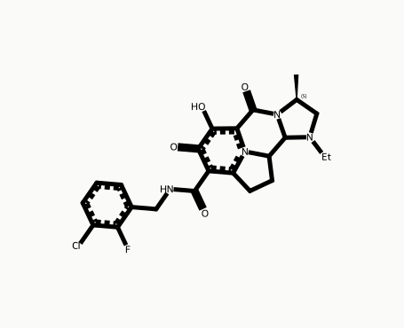 CCN1C[C@H](C)N2C(=O)c3c(O)c(=O)c(C(=O)NCc4cccc(Cl)c4F)c4n3C(CC4)C12